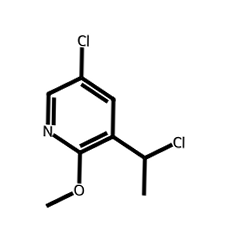 COc1ncc(Cl)cc1C(C)Cl